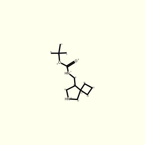 CC(C)(C)OC(=O)NCC1CNCC12CCC2